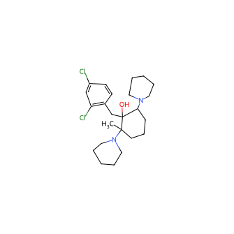 CC1(N2CCCCC2)CCCC(N2CCCCC2)C1(O)Cc1ccc(Cl)cc1Cl